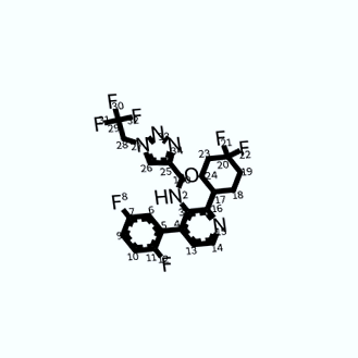 O=C(Nc1c(-c2cc(F)ccc2F)ccnc1C1CCC(F)(F)CC1)c1cn(CC(F)(F)F)nn1